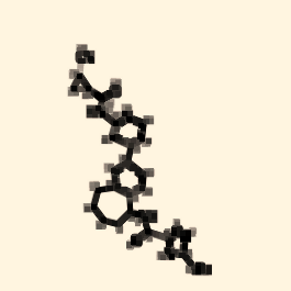 CC(C)(C)c1noc(C(=O)N[C@H]2CCCCc3cc(-c4ccnc(NC(=O)[C@H]5C[C@@H]5C#N)c4)ccc32)n1